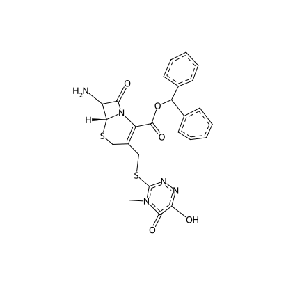 Cn1c(SCC2=C(C(=O)OC(c3ccccc3)c3ccccc3)N3C(=O)C(N)[C@H]3SC2)nnc(O)c1=O